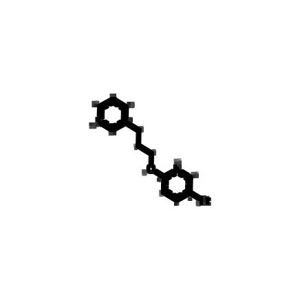 CCc1ccc(OCCCc2cccnc2)nc1